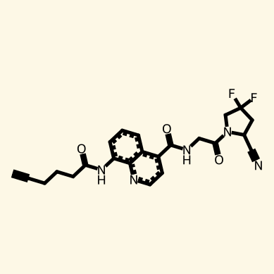 C#CCCCC(=O)Nc1cccc2c(C(=O)NCC(=O)N3CC(F)(F)CC3C#N)ccnc12